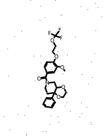 COc1cc(C(=O)N2CCC3(c4ccccc4)OCCOC3C2)ccc1OCCOC(F)(F)F